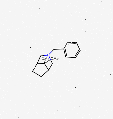 COC1(OC)C2CCC1CN(Cc1ccccc1)C2